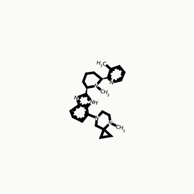 Cc1cccnc1[C@@H]1CCC[C@H](c2nc3cccc(N4CCN(C)C5(CC5)C4)c3[nH]2)N1C